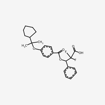 CC(C)(Oc1ccc(C(=O)OC(c2ccccc2)C(F)(F)C(=O)O)cc1)C1CCCCC1